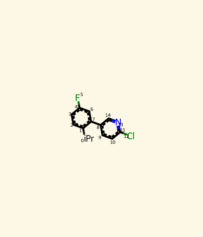 CC(C)c1ccc(F)cc1-c1ccc(Cl)nc1